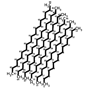 CCCCCCCCCCCCCCC.CCCCCCCCCCCCCCCC.CCCCCCCCCCCCCCCC.CCCCCCCCCCCCCCCCC.CCCCCCCCCCCCCCCCCC.CCCCCCCCCCCCCCCCCC